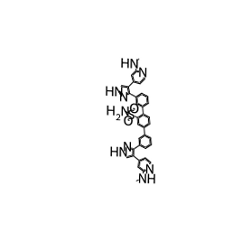 CNc1cc(-c2c[nH]nc2-c2cccc(-c3ccc(-c4cccc(-c5n[nH]cc5-c5ccnc(NC)c5)c4)c(S(N)(=O)=O)c3)c2)ccn1